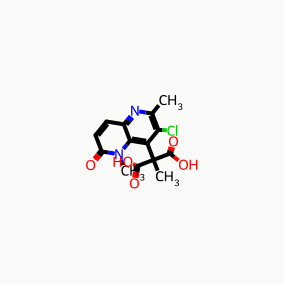 Cc1nc2ccc(=O)n(C)c2c(C(C)(C(=O)O)C(=O)O)c1Cl